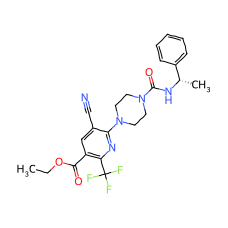 CCOC(=O)c1cc(C#N)c(N2CCN(C(=O)N[C@@H](C)c3ccccc3)CC2)nc1C(F)(F)F